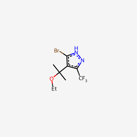 CCOC(C)(C)c1c(C(F)(F)F)n[nH]c1Br